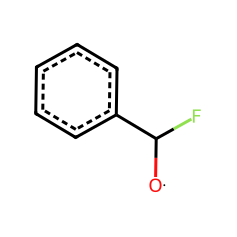 [O]C(F)c1ccccc1